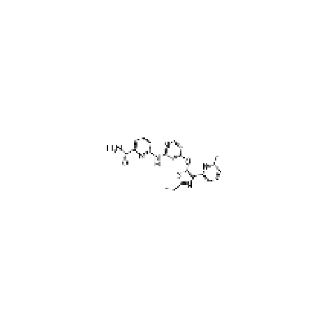 CCc1nc(-c2cccc(C)n2)c(Oc2ccnc(Nc3cccc(C(N)=O)n3)c2)s1